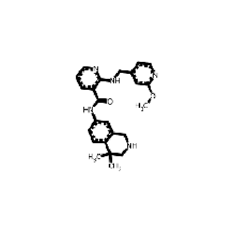 COc1cc(CNc2ncccc2C(=O)Nc2ccc3c(c2)CNCC3(C)C)ccn1